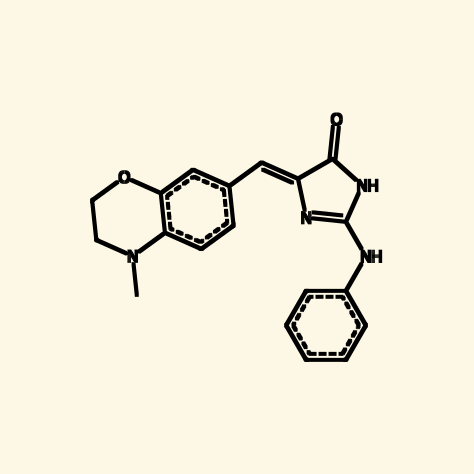 CN1CCOc2cc(/C=C3\N=C(Nc4ccccc4)NC3=O)ccc21